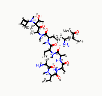 CC(C)CC(C(=O)N(C)C(CC(C)C)C(=O)N(C)C(C(=O)[C@@](C(=O)O)(C(C)O)N(C)C1=CCC1)C(C)C)N(C)C(=O)C(C)NC(=O)C(C)NC(=O)C(CC(C)C)N(C)C(=O)C(N)C(C)C.CCC(N)C(=O)O.CNCC(=O)OC